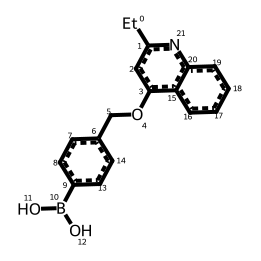 CCc1cc(OCc2ccc(B(O)O)cc2)c2ccccc2n1